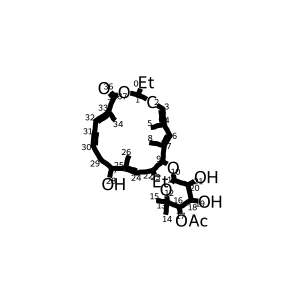 CCC1C/C=C(C)/C=C(\C)C(OC2OC(C)(C)C(OC(C)=O)C(O)C2O)C(CC)/C=C(\C)C(O)C/C=C/C=C(\C)C(=O)O1